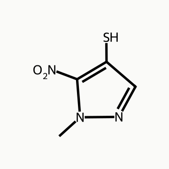 Cn1ncc(S)c1[N+](=O)[O-]